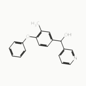 Cc1cc(C(O)c2cccnc2)ccc1Oc1ccccc1